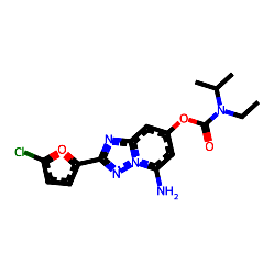 CCN(C(=O)Oc1cc(N)n2nc(-c3ccc(Cl)o3)nc2c1)C(C)C